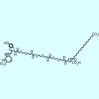 O=C(O)CCCCCCCCCCCCCCCCC(=O)N[C@@H](CCC(=O)NCCOCCOCC(=O)NCCOCCOCC(=O)NCCOCCOCC(=O)N[C@@H](Cc1ccc(O)cc1)C(=O)CN[C@H]1CSSC[C@@H](C(=O)O)NCC1=O)C(=O)O